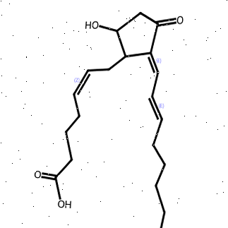 CCCCC/C=C/C=C1/C(=O)CC(O)C1C/C=C\CCCC(=O)O